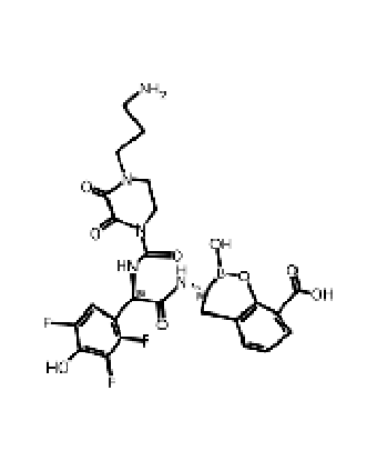 NCCCN1CCN(C(=O)N[C@@H](C(=O)N[C@H]2Cc3cccc(C(=O)O)c3OB2O)c2cc(F)c(O)c(F)c2F)C(=O)C1=O